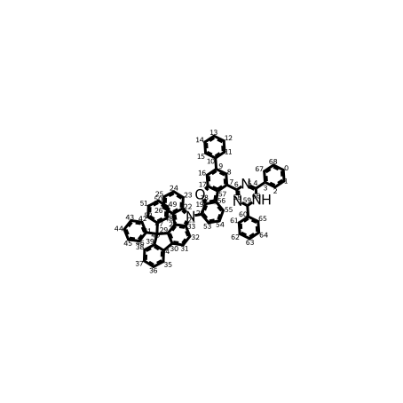 c1ccc(C2=NC(c3cc(-c4ccccc4)cc4oc5c(-n6c7ccccc7c7c8c(ccc76)-c6ccccc6C8(c6ccccc6)c6ccccc6)cccc5c34)=NC(c3ccccc3)N2)cc1